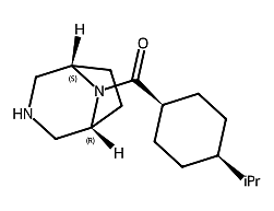 CC(C)[C@H]1CC[C@@H](C(=O)N2[C@@H]3CC[C@H]2CNC3)CC1